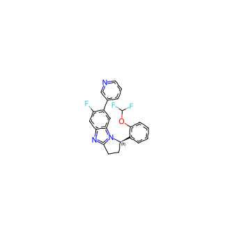 Fc1cc2nc3n(c2cc1-c1cccnc1)[C@@H](c1ccccc1OC(F)F)CC3